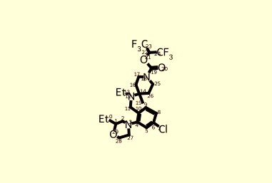 CCC1CN(c2cc(Cl)ccc2CN(CC)C2(C)CCN(C(=O)OC(C(F)(F)F)C(F)(F)F)CC2)CCO1